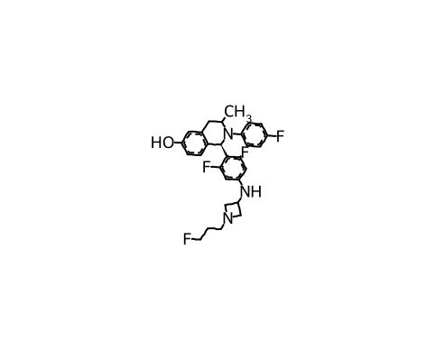 CC1Cc2cc(O)ccc2[C@H](c2c(F)cc(NC3CN(CCCF)C3)cc2F)N1c1ccc(F)cc1